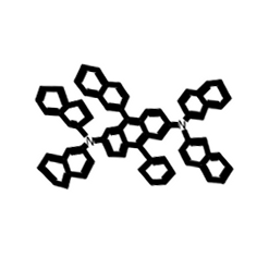 C1=CCCC(c2c3cc(N(c4ccc5ccccc5c4)c4ccc5ccccc5c4)ccc3c(-c3ccc4ccccc4c3)c3cc(N(c4ccc5ccccc5c4)c4ccc5ccccc5c4)ccc23)=C1